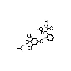 CON=C(C(=O)O)c1ccccc1COc1cc(Cl)c(OCCC(C)C)c(Cl)c1